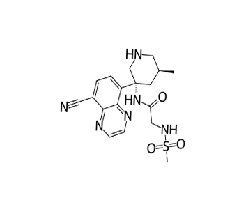 C[C@@H]1CNC[C@](NC(=O)CNS(C)(=O)=O)(c2ccc(C#N)c3nccnc23)C1